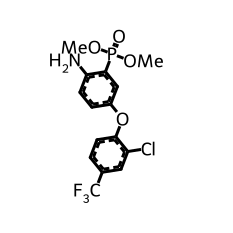 COP(=O)(OC)c1cc(Oc2ccc(C(F)(F)F)cc2Cl)ccc1N